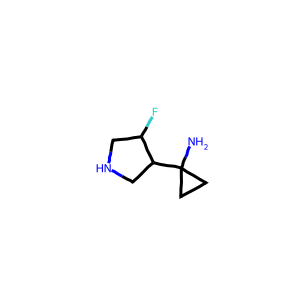 NC1(C2CNCC2F)CC1